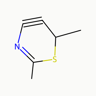 CC1=NC#CC(C)S1